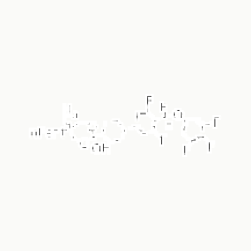 CCCCCC1(C)COC(O)(C2CCC(c3cc(F)c(C(F)(F)Oc4cc(F)c(F)c(F)c4)c(F)c3)CC2)OC1